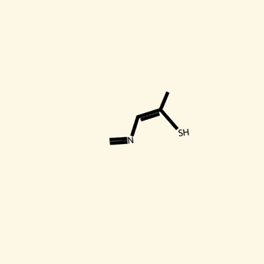 C=N/C=C(/C)S